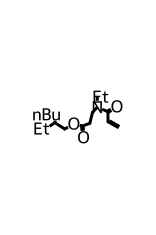 C=CC(=O)N(CC)CCC(=O)OCC(CC)CCCC